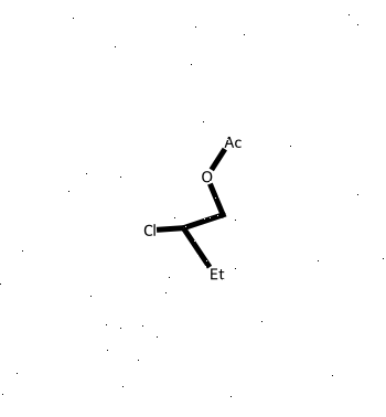 CCC(Cl)COC(C)=O